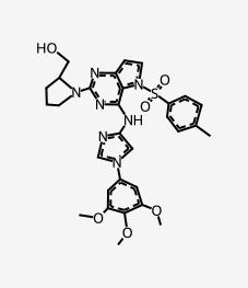 COc1cc(-n2cnc(Nc3nc(N4CCCC4CO)nc4ccn(S(=O)(=O)c5ccc(C)cc5)c34)c2)cc(OC)c1OC